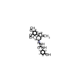 COc1ccc(C23CC/C(=N/NC(=O)Nc4cccc(O)c4)CC2N(C)CC3)cc1OC